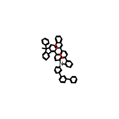 CC1(c2ccccc2)c2ccccc2-c2c(-c3ccc(N(c4cccc(-c5cccc(-c6ccccc6)c5)c4)c4ccccc4-c4ccc(-c5ccc6ccccc6c5)cc4)cc3)cccc21